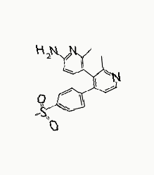 Cc1nc(N)ccc1-c1c(-c2ccc(S(C)(=O)=O)cc2)ccnc1C